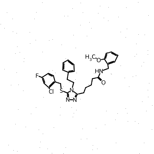 COc1ccccc1CNC(=O)CCCCc1nnc(SCc2ccc(F)cc2Cl)n1CCc1ccccc1